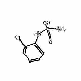 NP(=O)(O)Nc1ccccc1Cl